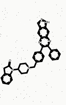 O=C1Cc2ccccc2N1C1CCN(Cc2ccc(-c3nc4cc5cn[nH]c5cc4nc3-c3ccccc3)cc2)CC1